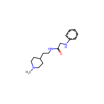 CN1CCC(CCNC(=O)CNc2ccccc2)CC1